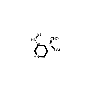 CC(C)(C)OC=O.CCN[C@@H]1CCCNC1